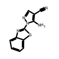 N#Cc1cnn(-c2nc3ccccc3s2)c1N